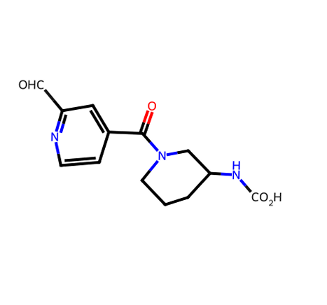 O=Cc1cc(C(=O)N2CCCC(NC(=O)O)C2)ccn1